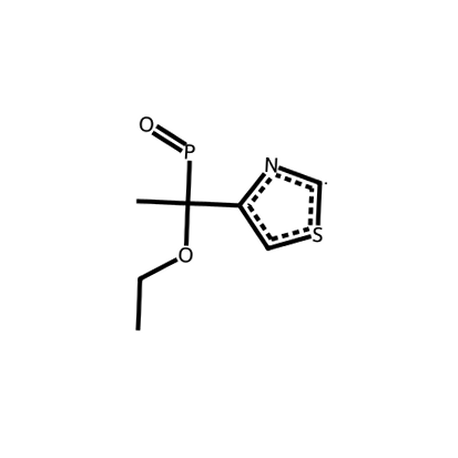 CCOC(C)(P=O)c1cs[c]n1